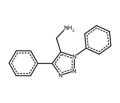 NCc1c(-c2ccccc2)nnn1-c1ccccc1